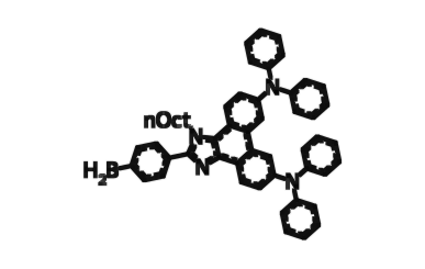 Bc1ccc(-c2nc3c4ccc(N(c5ccccc5)c5ccccc5)cc4c4cc(N(c5ccccc5)c5ccccc5)ccc4c3n2CCCCCCCC)cc1